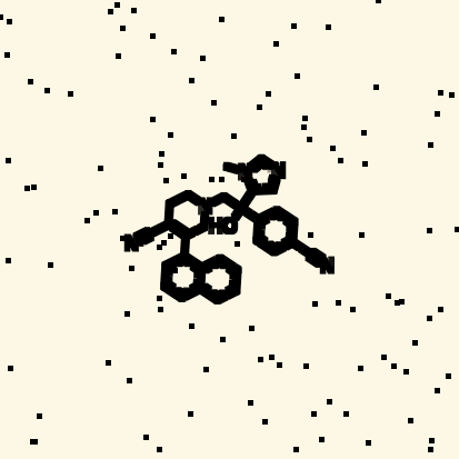 Cn1cncc1C(O)(CN1CCC(C#N)=C(c2cccc3ccccc23)C1)c1ccc(C#N)cc1